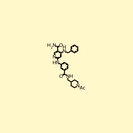 CC(=O)N1CCC(CNC(=O)c2cccc(Nc3cc(NCc4ccccc4)c(C(N)=O)cn3)c2)CC1